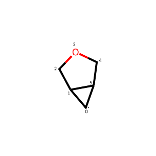 [CH]1C2COCC12